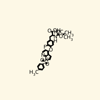 Cc1ccc(S(=O)(=O)n2ccc3c(Oc4ccc(CC(NC(=O)OC(C)(C)C)C(=O)O)cc4F)ccnc32)cc1